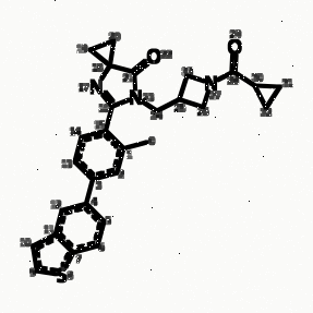 Cc1cc(-c2ccc3sccc3c2)ccc1C1=NC2(CC2)C(=O)N1CC1CN(C(=O)C2CC2)C1